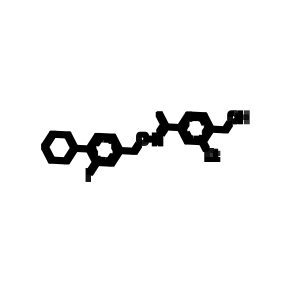 CCc1cc(C(C)=NOCc2ccc(C3CCCCC3)c(I)c2)ccc1CO